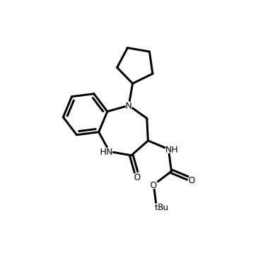 CC(C)(C)OC(=O)NC1CN(C2CCCC2)c2ccccc2NC1=O